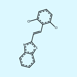 Clc1cccc(Cl)c1C=Cc1nc2ccccc2s1